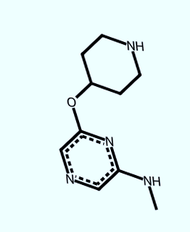 CNc1cncc(OC2CCNCC2)n1